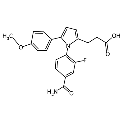 COc1ccc(-c2ccc(CCC(=O)O)n2-c2ccc(C(N)=O)cc2F)cc1